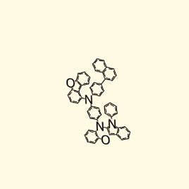 c1ccc(-n2c3c(c4ccccc42)Oc2ccccc2N3c2ccc(N(c3ccc(-c4cccc5ccccc45)cc3)c3cccc4oc5ccccc5c34)cc2)cc1